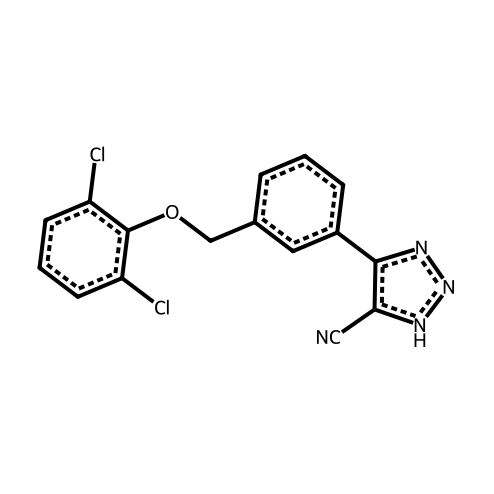 N#Cc1[nH]nnc1-c1cccc(COc2c(Cl)cccc2Cl)c1